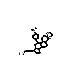 CN(C)c1ccc(C2CC3C(C#CCO)CCC3C3CCC4CC5(CCC4=C23)OCCO5)cc1